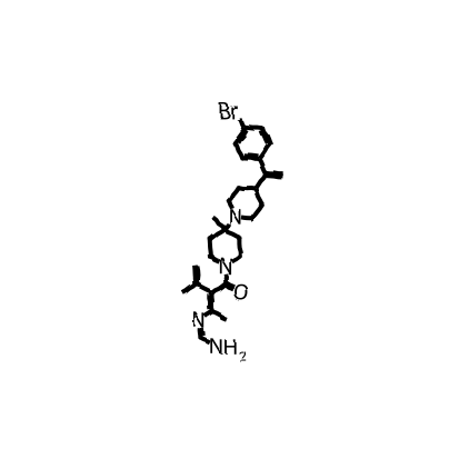 C=C(C)/C(C(=O)N1CCC(C)(N2CCC(C(=C)c3ccc(Br)cc3)CC2)CC1)=C(C)\N=C/N